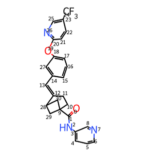 O=C(Nc1cccnc1)C12CC/C(=C\c3cccc(Oc4ccc(C(F)(F)F)cn4)c3)C(C1)C2